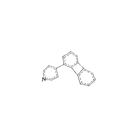 c1ccc2c(c1)-c1cccc(-c3ccncc3)c1-2